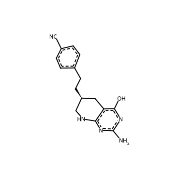 N#Cc1ccc(CC[C@@H]2CNc3nc(N)nc(O)c3C2)cc1